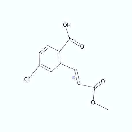 COC(=O)/C=C/c1cc(Cl)ccc1C(=O)O